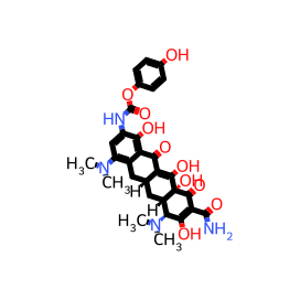 CN(C)c1cc(NC(=O)Oc2ccc(O)cc2)c(O)c2c1C[C@H]1C[C@H]3[C@H](N(C)C)C(O)=C(C(N)=O)C(=O)[C@@]3(O)C(O)=C1C2=O